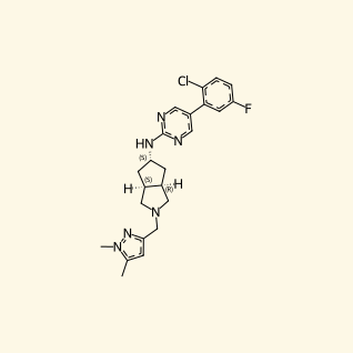 Cc1cc(CN2C[C@H]3C[C@H](Nc4ncc(-c5cc(F)ccc5Cl)cn4)C[C@H]3C2)nn1C